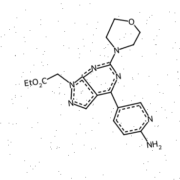 CCOC(=O)Cn1ncc2c(-c3ccc(N)nc3)nc(N3CCOCC3)nc21